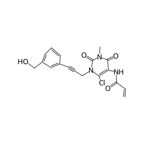 C=CC(=O)Nc1c(Cl)n(CC#Cc2cccc(CO)c2)c(=O)n(C)c1=O